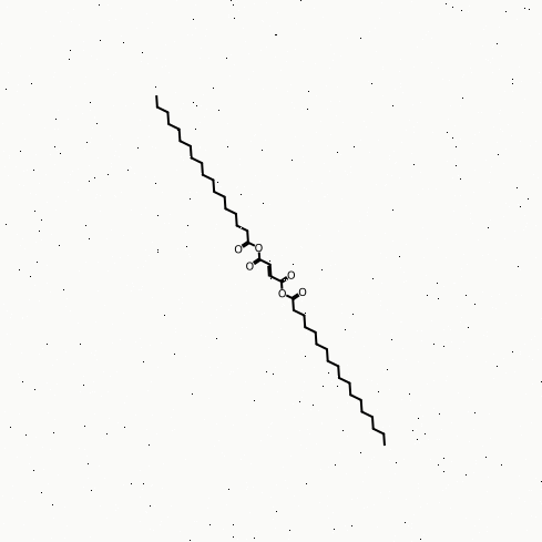 CCCCCCCCCCCCCCCCCC(=O)OC(=O)/C=C/C(=O)OC(=O)CCCCCCCCCCCCCCCCC